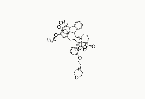 COc1ccc(CC[C@H](c2cccc(OCCN3CCOCC3)c2)C2(C(=O)O)N(CC3c4ccccc4-c4ccccc43)CCC[C@]23OC3=O)cc1OC